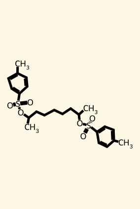 Cc1ccc(S(=O)(=O)OC(C)CCCCCC(C)OS(=O)(=O)c2ccc(C)cc2)cc1